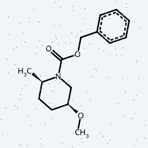 CO[C@H]1CC[C@@H](C)N(C(=O)OCc2ccccc2)C1